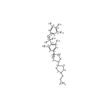 CCCC1CCC(C2COB(c3cc(F)c(C(F)(F)Oc4cc(F)c(F)c(F)c4)c(F)c3)OC2)CC1